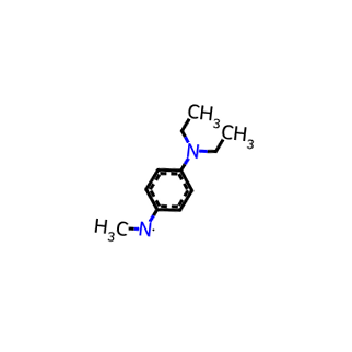 CCN(CC)c1ccc([N]C)cc1